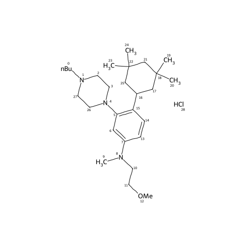 CCCCN1CCN(c2cc(N(C)CCOC)ccc2C2CC(C)(C)CC(C)(C)C2)CC1.Cl